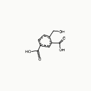 O=C(O)c1ccc(CO)c(C(=O)O)c1